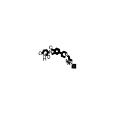 O=C1CCC(N2Cc3cc(C4CCN(Cc5cn(C6CCC6)nn5)CC4)ccc3C2=O)C(=O)N1